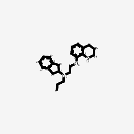 CCCN(CCOc1cccc2c1SCCC2)C1Cc2ccccc2C1